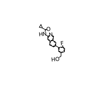 O=C(Nc1cc2ccc(-c3cc(CO)ccc3F)cc2cn1)C1CC1